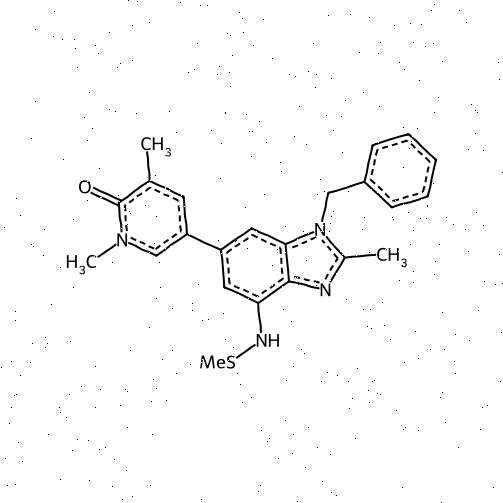 CSNc1cc(-c2cc(C)c(=O)n(C)c2)cc2c1nc(C)n2Cc1ccccc1